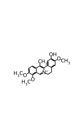 COc1cc2c(cc1O)-c1c(C)c3ccc(OC)c(OC)c3c[n+]1CC2